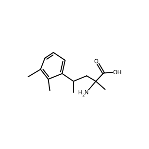 Cc1cccc(C(C)CC(C)(N)C(=O)O)c1C